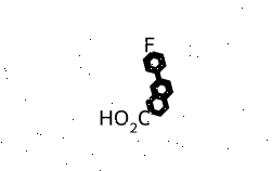 O=C(O)C1=Cc2cc(-c3ccc(F)cc3)ccc2CC1